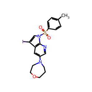 Cc1ccc(S(=O)(=O)n2cc(I)c3cc(N4CCCOCC4)cnc32)cc1